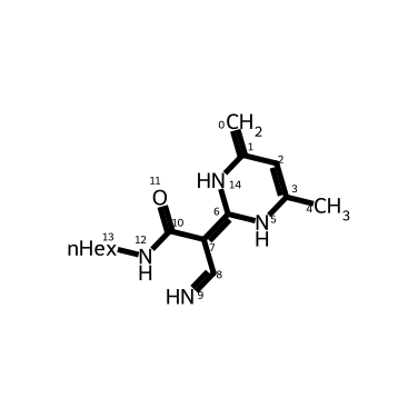 C=C1C=C(C)N/C(=C(\C=N)C(=O)NCCCCCC)N1